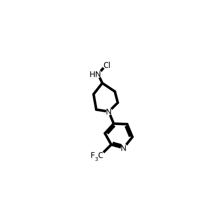 FC(F)(F)c1cc(N2CCC(NCl)CC2)ccn1